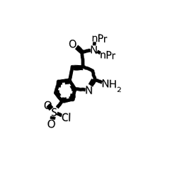 CCCN(CCC)C(=O)C1=Cc2ccc(S(=O)(=O)Cl)cc2N=C(N)C1